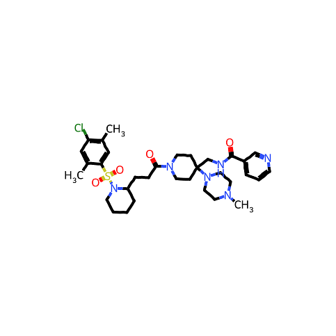 Cc1cc(S(=O)(=O)N2CCCCC2CCC(=O)N2CCC(CNC(=O)c3cccnc3)(N3CCN(C)CC3)CC2)c(C)cc1Cl